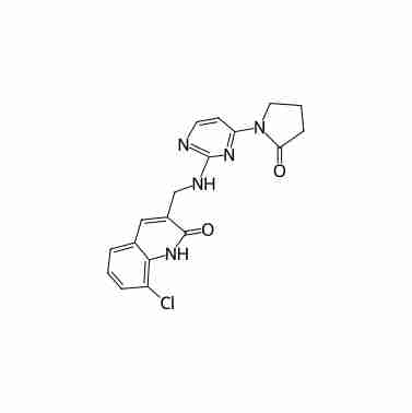 O=C1CCCN1c1ccnc(NCc2cc3cccc(Cl)c3[nH]c2=O)n1